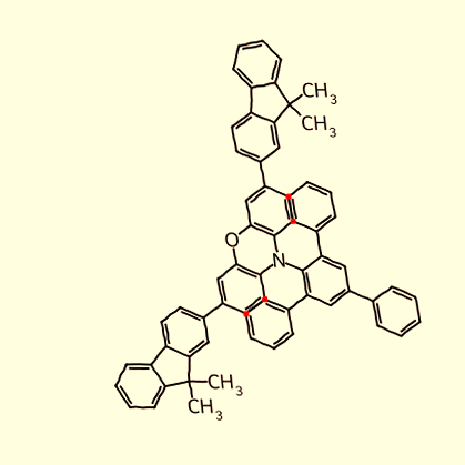 CC1(C)c2ccccc2-c2ccc(-c3ccc4c(c3)Oc3cc(-c5ccc6c(c5)C(C)(C)c5ccccc5-6)ccc3N4c3c(-c4ccccc4)cc(-c4ccccc4)cc3-c3ccccc3)cc21